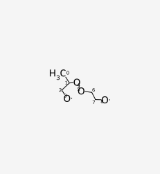 CC(C[O])OOCC[O]